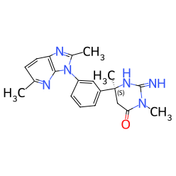 Cc1ccc2nc(C)n(-c3cccc([C@]4(C)CC(=O)N(C)C(=N)N4)c3)c2n1